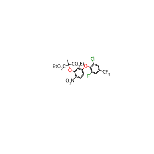 CCOC(=O)C(C)(Oc1cc(Oc2c(F)cc(C(F)(F)F)cc2Cl)ccc1[N+](=O)[O-])C(=O)OCC